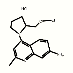 CCOCC1CCCN1c1cc(C)nc2cc(N)ccc12.Cl